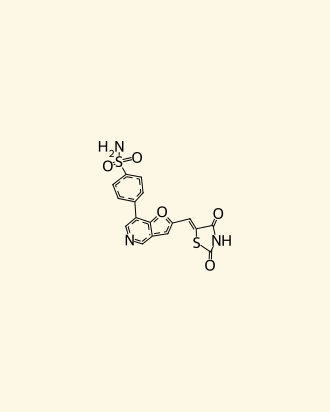 NS(=O)(=O)c1ccc(-c2cncc3cc(/C=C4\SC(=O)NC4=O)oc23)cc1